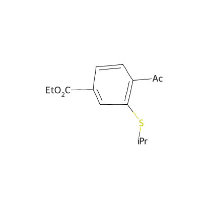 CCOC(=O)c1ccc(C(C)=O)c(SC(C)C)c1